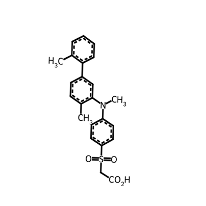 Cc1ccccc1-c1ccc(C)c(N(C)c2ccc(S(=O)(=O)CC(=O)O)cc2)c1